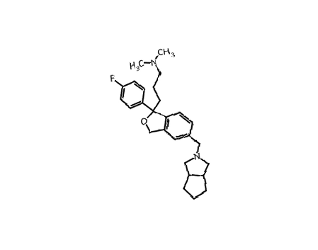 CN(C)CCCC1(c2ccc(F)cc2)OCc2cc(CN3CC4CCCC4C3)ccc21